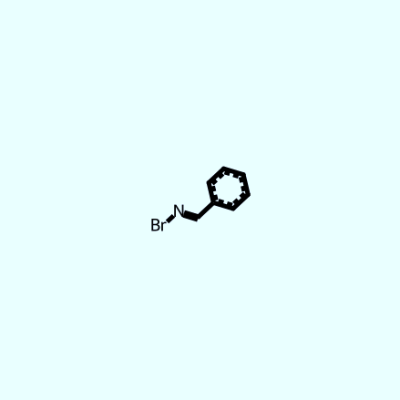 BrN=Cc1ccccc1